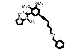 CCN1CCCC1N(C)C(=O)c1cc(C#CCCCCOCc2ccccc2)cc(OC)c1OC